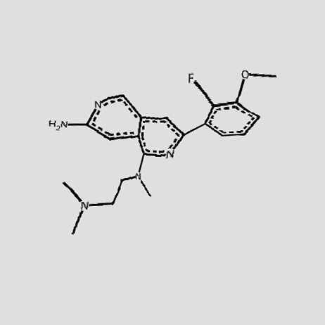 COc1cccc(-c2cc3cnc(N)cc3c(N(C)CCN(C)C)n2)c1F